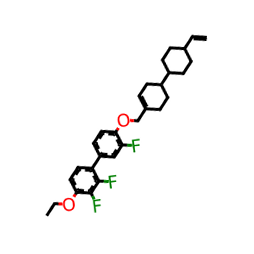 C=CC1CCC(C2CC=C(COc3ccc(-c4ccc(OCC)c(F)c4F)cc3F)CC2)CC1